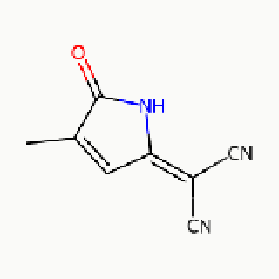 CC1=CC(=C(C#N)C#N)NC1=O